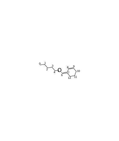 CCCCCOC=C1C=CCCC1